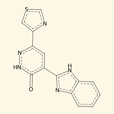 O=c1[nH]nc(-c2cscn2)cc1-c1nc2ccccc2[nH]1